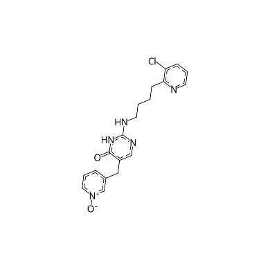 O=c1[nH]c(NCCCCc2ncccc2Cl)ncc1Cc1ccc[n+]([O-])c1